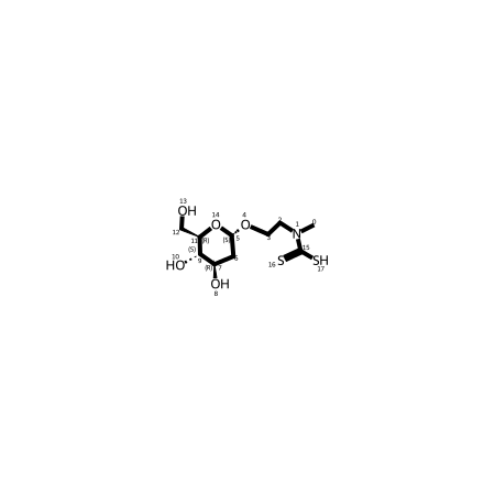 CN(CCO[C@@H]1C[C@@H](O)[C@H](O)[C@@H](CO)O1)C(=S)S